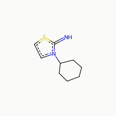 N=c1sccn1C1CCCCC1